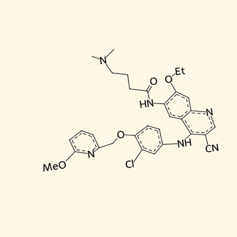 CCOc1cc2ncc(C#N)c(Nc3ccc(OCc4cccc(OC)n4)c(Cl)c3)c2cc1NC(=O)CCCN(C)C